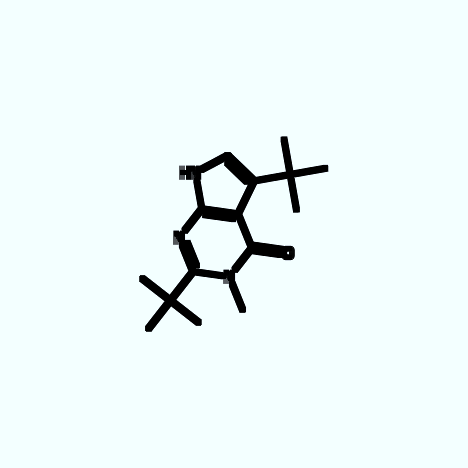 Cn1c(C(C)(C)C)nc2[nH]cc(C(C)(C)C)c2c1=O